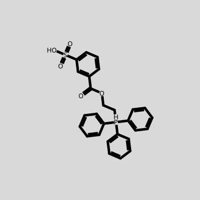 O=C(OCC[PH](c1ccccc1)(c1ccccc1)c1ccccc1)c1cccc(S(=O)(=O)O)c1